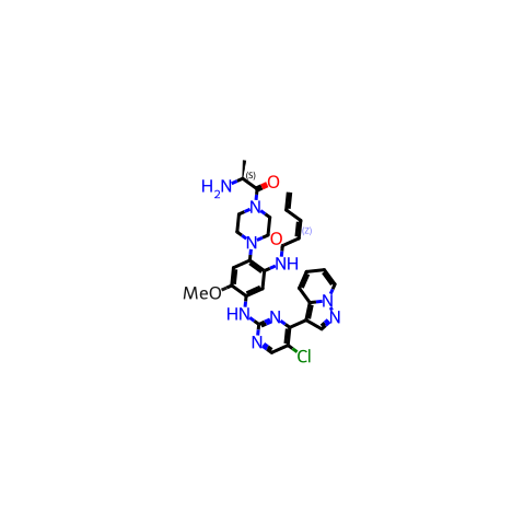 C=C/C=C\C(=O)Nc1cc(Nc2ncc(Cl)c(-c3cnn4ccccc34)n2)c(OC)cc1N1CCN(C(=O)[C@H](C)N)CC1